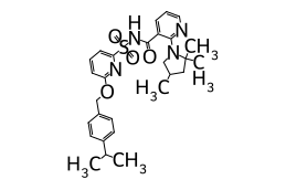 CC1CN(c2ncccc2C(=O)NS(=O)(=O)c2cccc(OCc3ccc(C(C)C)cc3)n2)C(C)(C)C1